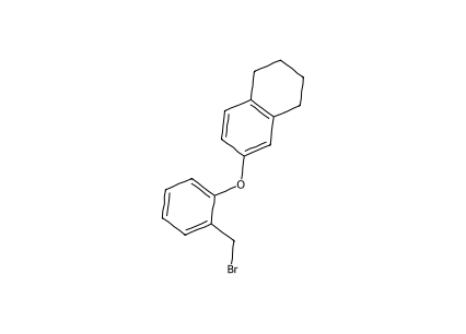 BrCc1ccccc1Oc1ccc2c(c1)CCCC2